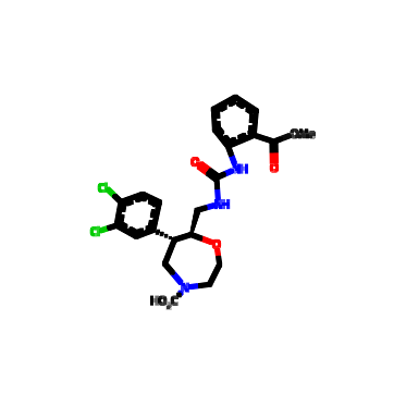 COC(=O)c1ccccc1NC(=O)NC[C@H]1OCCN(C(=O)O)C[C@@H]1c1ccc(Cl)c(Cl)c1